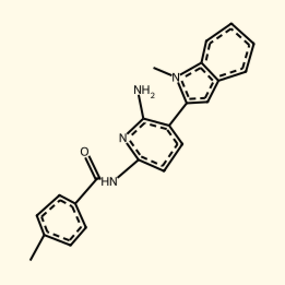 Cc1ccc(C(=O)Nc2ccc(-c3cc4ccccc4n3C)c(N)n2)cc1